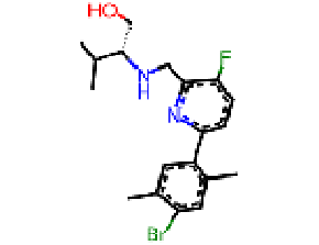 Cc1cc(-c2ccc(F)c(CN[C@@H](CO)C(C)C)n2)c(C)cc1Br